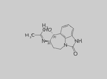 CC(C)=N[C@@H]1CCn2c(=O)[nH]c3cccc(c32)[C@H]1O